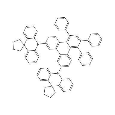 c1ccc(-c2cc(-c3ccccc3)c3c4ccc(N5c6ccccc6C6(CCCC6)c6ccccc65)cc4c4cc(N5c6ccccc6C6(CCCC6)c6ccccc65)ccc4c3c2-c2ccccc2)cc1